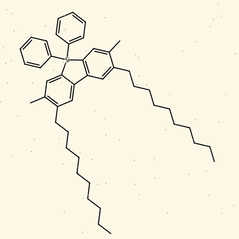 CCCCCCCCCCc1cc2c(cc1C)[Si](c1ccccc1)(c1ccccc1)c1cc(C)c(CCCCCCCCCC)cc1-2